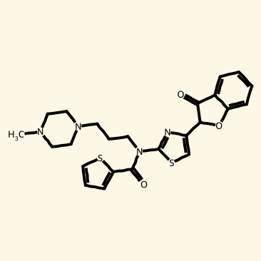 CN1CCN(CCCN(C(=O)c2cccs2)c2nc(C3Oc4ccccc4C3=O)cs2)CC1